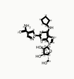 NC(=O)c1cnn(-c2nc(NC3CCCC3)c3ncn([C@@H]4O[C@H](CO)[C@@H](O)[C@H]4O)c3n2)c1